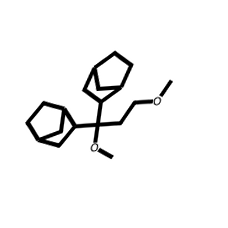 COCCC(OC)(C1CC2CCC1C2)C1CC2CCC1C2